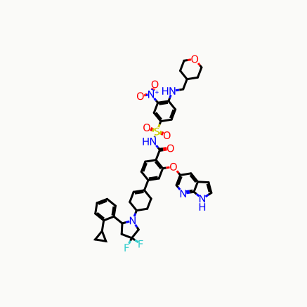 O=C(NS(=O)(=O)c1ccc(NCC2CCOCC2)c([N+](=O)[O-])c1)c1ccc(C2=CCC(N3CC(F)(F)CC3c3ccccc3C3CC3)CC2)cc1Oc1cnc2[nH]ccc2c1